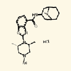 CC(=O)N1C[C@H](C)N(c2nc3c(C(=O)NC4CC5CCCC(C4)N5C)cccc3o2)[C@@H](C)C1.Cl